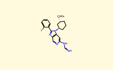 CO[C@@H]1CCC[C@@H](n2c(-c3ccccc3F)nc3cnc(NC=N)cc32)C1